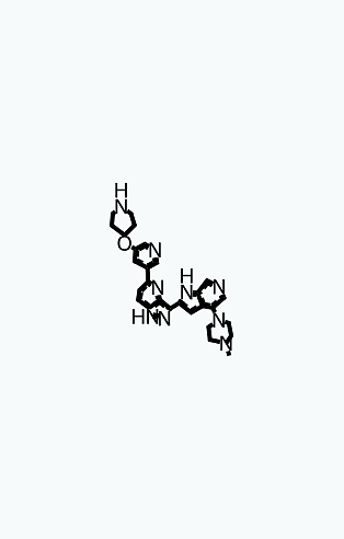 CN1CCN(c2cncc3[nH]c(-c4n[nH]c5ccc(-c6cncc(OC7CCNCC7)c6)nc45)cc23)CC1